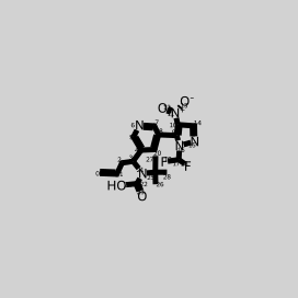 C=CCC(c1cncc(-c2c([N+](=O)[O-])cnn2C(F)F)c1)N(C(=O)O)C(C)(C)C